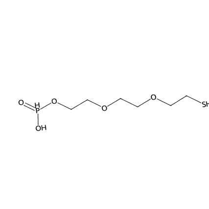 O=[PH](O)OCCOCCOCCS